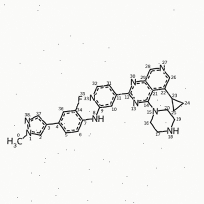 Cn1cc(-c2ccc(Nc3cc(-c4nc(N5CCNCC5)c5c(C6CC6)cncc5n4)ccn3)c(F)c2)cn1